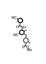 Cc1c(CN2CCN(C(=O)OC(C)(C)C)C(C)C2)cc(C#N)cc1NC(=O)c1cccc(C#N)c1